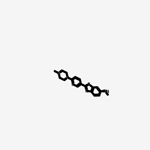 CNc1ccc2nc(-c3ccc(N4CCN(C)CC4)nc3)sc2c1